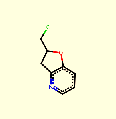 ClCC1Cc2ncccc2O1